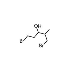 CC(CBr)C(O)CCBr